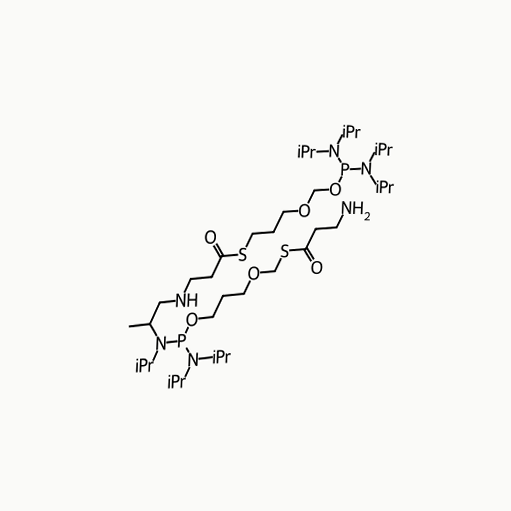 CC(C)N(C(C)C)P(OCOCCCSC(=O)CCNCC(C)N(C(C)C)P(OCCCOCSC(=O)CCN)N(C(C)C)C(C)C)N(C(C)C)C(C)C